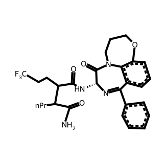 CCCC(C(N)=O)C(CCC(F)(F)F)C(=O)N[C@H]1N=C(c2ccccc2)c2cccc3c2N(CCCO3)C1=O